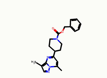 Bc1cnn2c(C)cc(C3CCN(C(=O)OCc4ccccc4)CC3)nc12